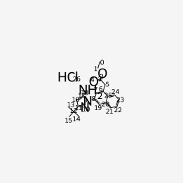 CCOC(=O)Cc1cc(-n2nc(C(C)(C)C)cc2N)cc2ccccc12.Cl